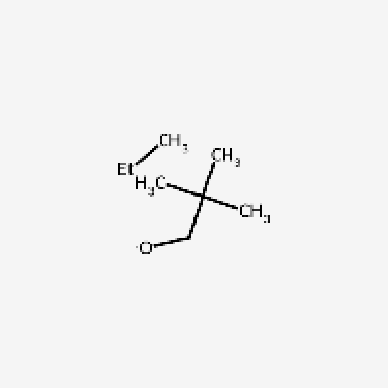 CC(C)(C)C[O].CCC